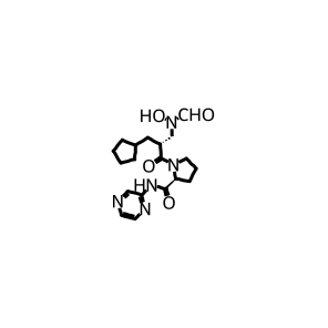 O=CN(O)C[C@@H](CC1CCCC1)C(=O)N1CCC[C@H]1C(=O)Nc1cnccn1